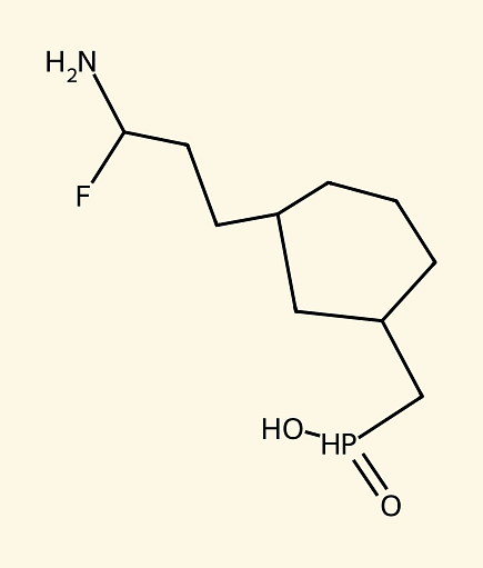 NC(F)CCC1CCCC(C[PH](=O)O)C1